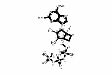 CNc1nc(SC)nc2c1ncn2[C@H]1[C@H](O)[C@H](O)[C@]2(COP(=O)(O)OP(=O)(O)OP(=O)(O)O)CC[C@H]12